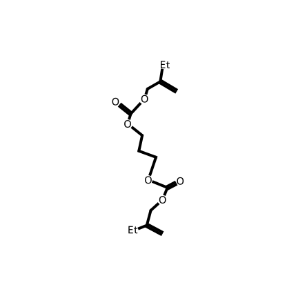 C=C(CC)COC(=O)OCCCOC(=O)OCC(=C)CC